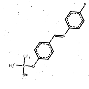 CC(C)(C)[Si](C)(C)Oc1ccc(C=Nc2ccc(F)cc2)cc1